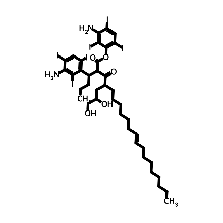 CCCCCCCCC=CCCCCCCC(CC(O)CO)C(=O)C(C(=O)Oc1c(I)cc(I)c(N)c1I)C(CCC)c1c(I)cc(I)c(N)c1I